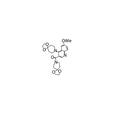 COc1ccc2ncc(C(=O)N3CCC4(CC3)OCCO4)c(N3CCC4(CC3)OCCO4)c2c1